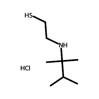 CC(C)C(C)(C)NCCS.Cl